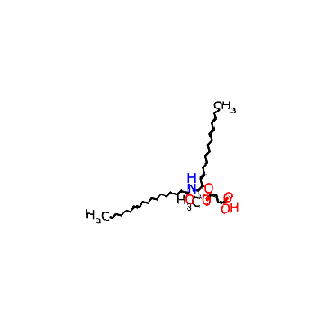 CCCCCCCCCCCCC/C=C/[C@@H](OC(=O)CCC(=O)O)[C@H](CC)NC(=O)CCCCCCCCCCCCCCCCC